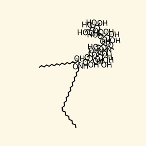 CCCCCCCC/C=C\CCCCCCCCCCCCCCCC(=O)N[C@@H](CO[C@@H]1OC(CO)[C@@H](O[C@@H]2OC(CO)[C@H](O)[C@H](O[C@@H]3OC(CO)[C@@H](O)[C@H](O[C@@H]4OC(CO[C@]5(C(=O)O)CC(O)[C@@H](O)C([C@H](O)[C@H](O)CO)O5)[C@H](O)[C@H](O)C4O)C3NC(C)=O)C2O)[C@H](O)C1O)[C@H](O)/C=C/CCCCCCCCCCCCC